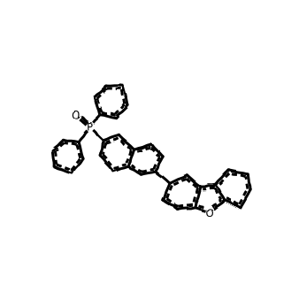 O=P(c1ccccc1)(c1ccccc1)c1ccc2cc(-c3ccc4oc5ccccc5c4c3)ccc2c1